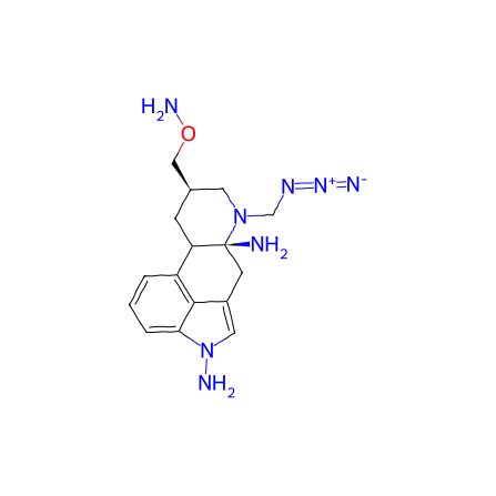 [N-]=[N+]=NCN1C[C@H](CON)CC2c3cccc4c3c(cn4N)C[C@]21N